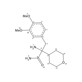 COc1ccc(CC(N)(C(N)=O)C2CCOCC2)cc1OC